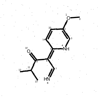 COC1=CN/C(=C(\C=N)C(=O)C(C)C)C=C1